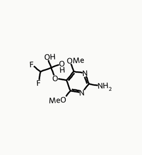 COc1nc(N)nc(OC)c1OC(O)(O)C(F)F